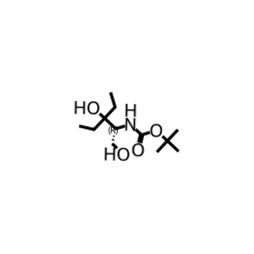 CCC(O)(CC)[C@@H](CO)NC(=O)OC(C)(C)C